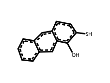 Oc1c(S)ccc2cc3ccccc3cc12